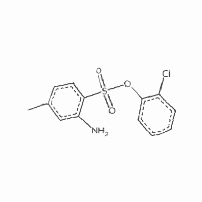 Cc1ccc(S(=O)(=O)Oc2ccccc2Cl)c(N)c1